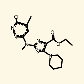 CCOC(=O)c1nc(N(C)c2cc(C)c(Cl)nn2)sc1N1CCCCC1